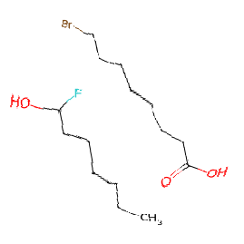 CCCCCCC(O)F.O=C(O)CCCCCCCBr